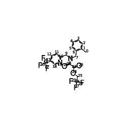 Cc1ccccc1CN(Cc1ccc(C(F)(F)F)cn1)C(=O)C(=O)OCC(F)(F)F